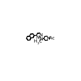 CC(=O)N1CCC(N(C)c2nccc(-c3ccc4ccccc4c3)n2)CC1